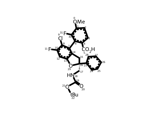 COc1ccc(C(=O)O)c(-c2c(Cl)c(F)cc3c2C[C@@](CNC(=O)OC(C)(C)C)(c2ccccc2)O3)c1F